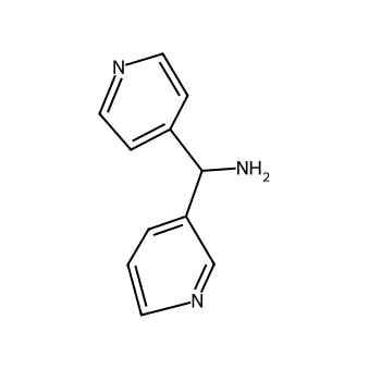 NC(c1ccncc1)c1cccnc1